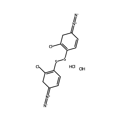 Cl.Cl.[N-]=[N+]=C1C=CC(SSC2=C(Cl)CC(=[N+]=[N-])C=C2)=C(Cl)C1